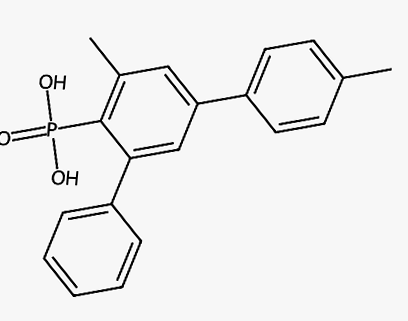 Cc1ccc(-c2cc(C)c(P(=O)(O)O)c(-c3ccccc3)c2)cc1